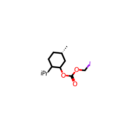 CC(C)C1CC[C@H](C)CC1OC(=O)OCI